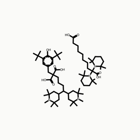 CC1(C)CCCC(C)(C)N1C(CCCCCCCC(=O)O)(C(=O)O)N1C(C)(C)CCCC1(C)C.CN1C(C)(C)CC(C(CCCC(Cc2cc(C(C)(C)C)c(O)c(C(C)(C)C)c2)(C(=O)O)C(=O)O)C2CC(C)(C)N(C)C(C)(C)C2)CC1(C)C